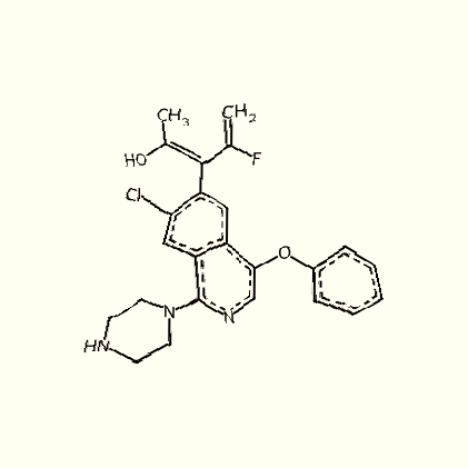 C=C(F)/C(=C(\C)O)c1cc2c(Oc3ccccc3)cnc(N3CCNCC3)c2cc1Cl